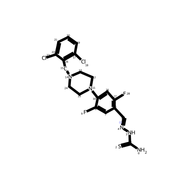 NC(=S)N/N=C/c1cc(F)c(N2CCN(Cc3c(Cl)cccc3Cl)CC2)cc1F